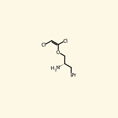 CC(C)C[C@H](N)CO/C(Cl)=C\Cl